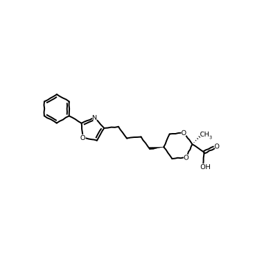 C[C@]1(C(=O)O)OC[C@@H](CCCCc2coc(-c3ccccc3)n2)CO1